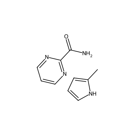 Cc1ccc[nH]1.NC(=O)c1ncccn1